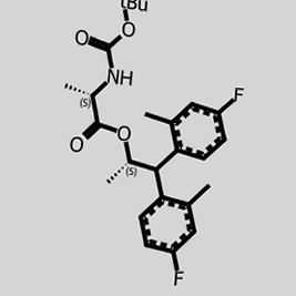 Cc1cc(F)ccc1C(c1ccc(F)cc1C)[C@H](C)OC(=O)[C@H](C)NC(=O)OC(C)(C)C